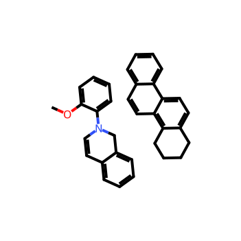 COc1ccccc1N1C=Cc2ccccc2C1.c1ccc2c(c1)ccc1c3c(ccc12)CCCC3